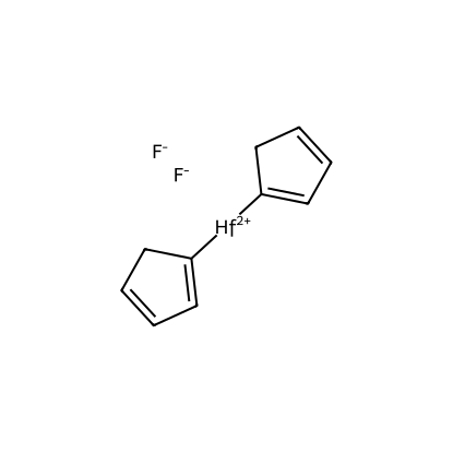 C1=CC[C]([Hf+2][C]2=CC=CC2)=C1.[F-].[F-]